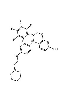 Oc1ccc2c(c1)OC[C@@H](c1c(F)c(F)c(F)c(F)c1F)[C@H]2c1ccc(OCCN2CCCCC2)cc1